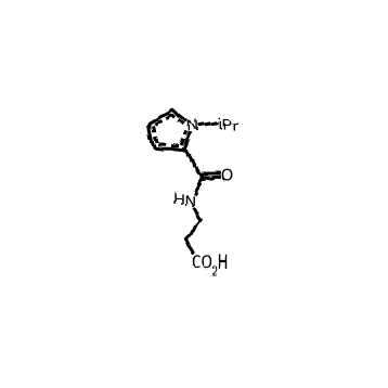 CC(C)n1cccc1C(=O)NCCC(=O)O